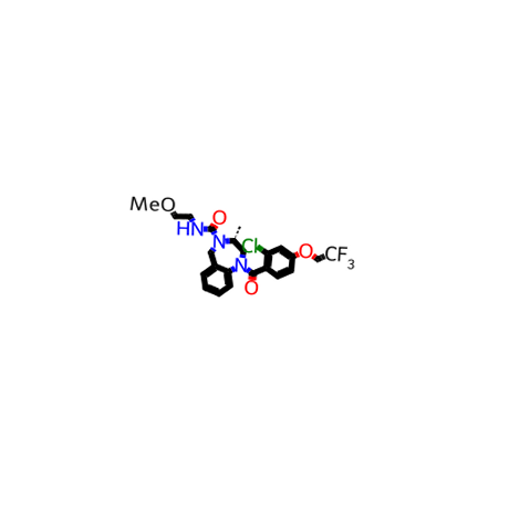 COCCNC(=O)N1Cc2ccccc2N(C(=O)c2ccc(OCC(F)(F)F)cc2Cl)C[C@H]1C